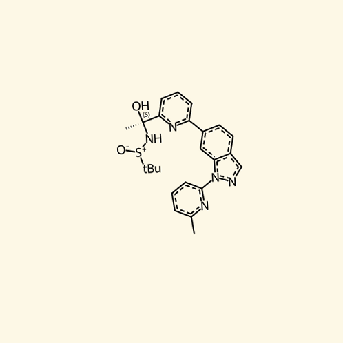 Cc1cccc(-n2ncc3ccc(-c4cccc([C@](C)(O)N[S+]([O-])C(C)(C)C)n4)cc32)n1